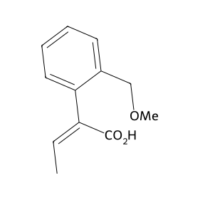 C/C=C(\C(=O)O)c1ccccc1COC